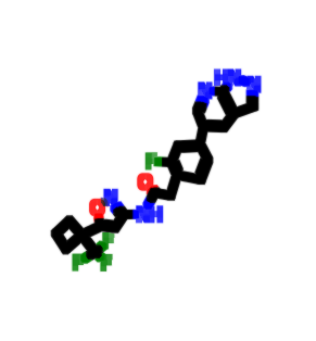 O=C(Cc1ccc(-c2cnc3[nH]ncc3c2)cc1F)Nc1cc(C2(C(F)(F)F)CCC2)on1